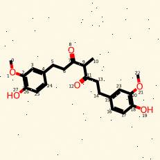 COc1cc(CCC(=O)C(C)C(=O)CCc2ccc(O)c(OC)c2)ccc1O